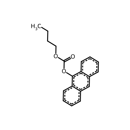 CCCCOC(=O)Oc1c2ccccc2cc2ccccc12